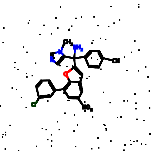 Cn1cncc1C(N)(c1ccc(C#N)cc1)c1cc2cc([N+](=O)[O-])cc(-c3cccc(Cl)c3)c2o1